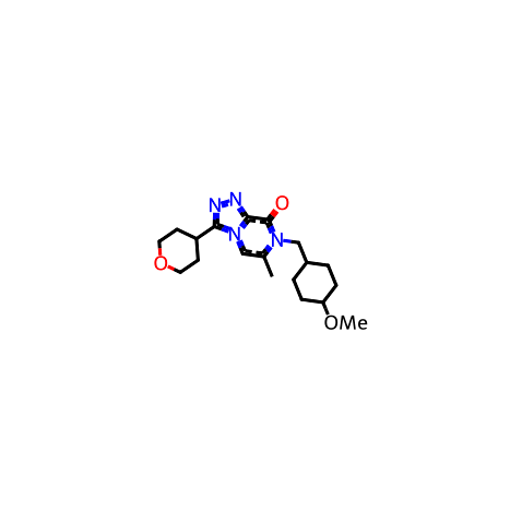 COC1CCC(Cn2c(C)cn3c(C4CCOCC4)nnc3c2=O)CC1